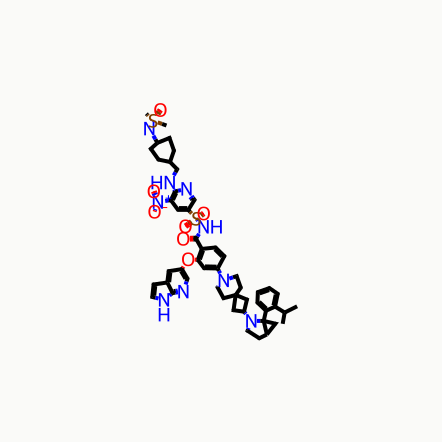 CC(C)c1ccccc1C12CC1CCN2C1CC2(CCN(c3ccc(C(=O)NS(=O)(=O)c4cnc(NCC5CCC(N=S(C)(C)=O)CC5)c([N+](=O)[O-])c4)c(Oc4cnc5[nH]ccc5c4)c3)CC2)C1